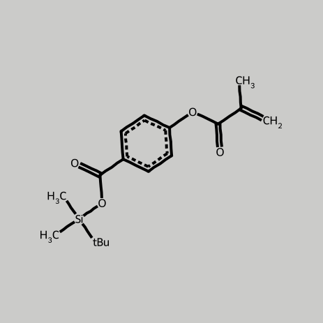 C=C(C)C(=O)Oc1ccc(C(=O)O[Si](C)(C)C(C)(C)C)cc1